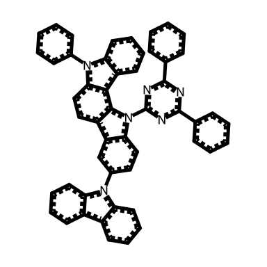 c1ccc(-c2nc(-c3ccccc3)nc(-n3c4ccc(-n5c6ccccc6c6ccccc65)cc4c4ccc5c(c6ccccc6n5-c5ccccc5)c43)n2)cc1